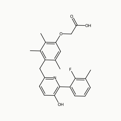 Cc1cccc(-c2nc(Cc3c(C)cc(OCC(=O)O)c(C)c3C)ccc2O)c1F